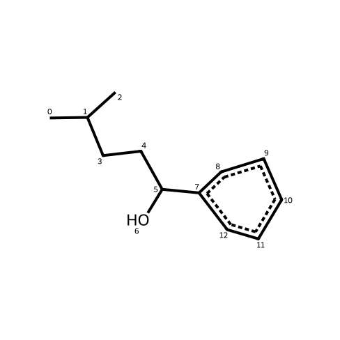 CC(C)CCC(O)c1ccccc1